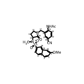 COc1ccc2ccc(S(=O)(=O)N(C)C3CCN(Cc4cc(C#N)ccc4NC(C)=O)C3=O)cc2c1